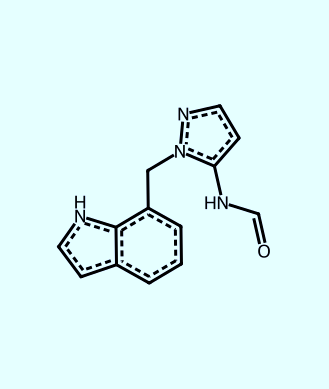 O=CNc1ccnn1Cc1cccc2cc[nH]c12